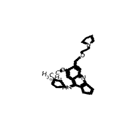 COc1cc2c(N[C@@H]3CC[C@H](C)C3)c3c(nc2cc1COCCN1CCCC1)CCC3